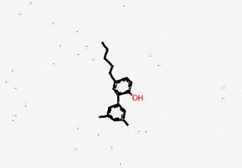 CCCCCc1ccc(O)c(-c2cc(C)cc(C)c2)c1